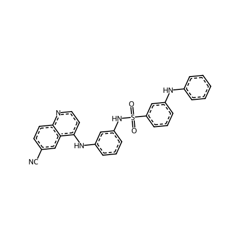 N#Cc1ccc2nccc(Nc3cccc(NS(=O)(=O)c4cccc(Nc5ccccc5)c4)c3)c2c1